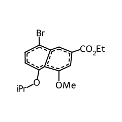 CCOC(=O)c1cc(OC)c2c(OC(C)C)ccc(Br)c2c1